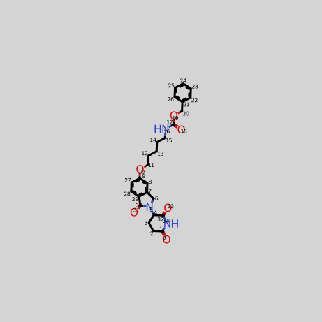 O=C1CCC(N2Cc3cc(OCCCCCNC(=O)OCc4ccccc4)ccc3C2=O)C(=O)N1